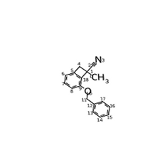 CC1(C#N)Cc2cccc(OCc3ccccc3)c21